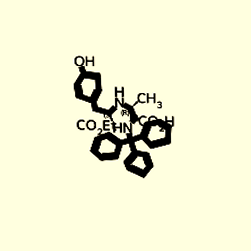 CCOC(=O)[C@H](Cc1ccc(O)cc1)N[C@H](C)[C@H](NC(c1ccccc1)(c1ccccc1)c1ccccc1)C(=O)O